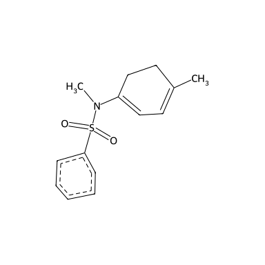 CC1=CC=C(N(C)S(=O)(=O)c2ccccc2)CC1